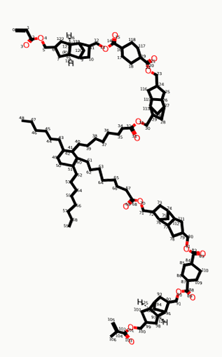 C=CC(=O)OCC1C[C@@H]2C3CC(COC(=O)C4CCC(C(=O)OCC5CC6C7CC(COC(=O)CCCCCCCC8C(CCCCCC)CCC(CCCCCCCC)C8CCCCCCCC(=O)OCC8CC9CC8C8CC(COC(=O)C%10CCC(C(=O)OCC%11CC%12CC%11[C@H]%11CC(COC(=O)C(=C)C)C[C@@H]%12%11)CC%10)CC98)C(C7)C6C5)CC4)C(C3)[C@@H]2C1